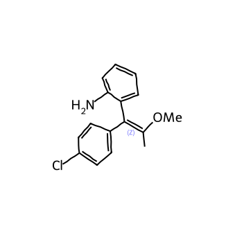 CO/C(C)=C(/c1ccc(Cl)cc1)c1ccccc1N